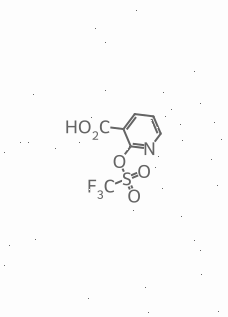 O=C(O)c1cccnc1OS(=O)(=O)C(F)(F)F